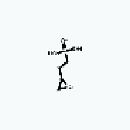 O=P(O)(O)CCC1CO1